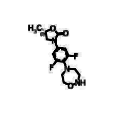 C[C@H]1CN(c2cc(F)c(N3CCNOCC3)c(F)c2)C(=O)O1